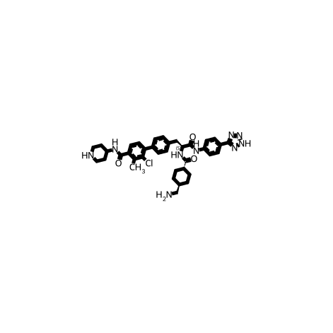 Cc1c(C(=O)NC2CCNCC2)ccc(-c2ccc(C[C@H](NC(=O)[C@H]3CC[C@H](CN)CC3)C(=O)Nc3ccc(-c4nn[nH]n4)cc3)cc2)c1Cl